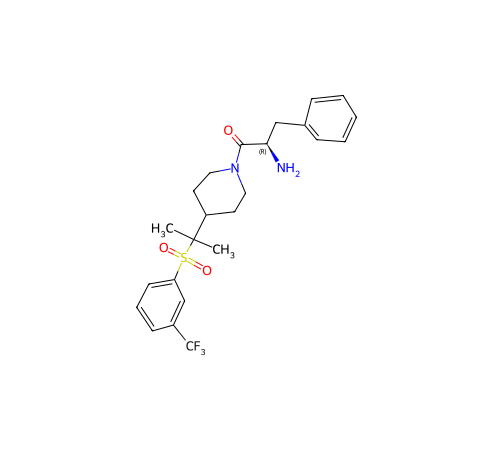 CC(C)(C1CCN(C(=O)[C@H](N)Cc2ccccc2)CC1)S(=O)(=O)c1cccc(C(F)(F)F)c1